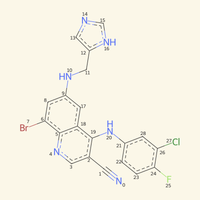 N#Cc1cnc2c(Br)cc(NCc3cnc[nH]3)cc2c1Nc1ccc(F)c(Cl)c1